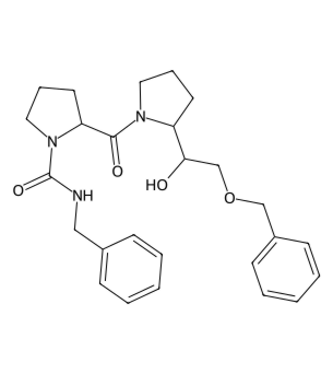 O=C(NCc1ccccc1)N1CCCC1C(=O)N1CCCC1C(O)COCc1ccccc1